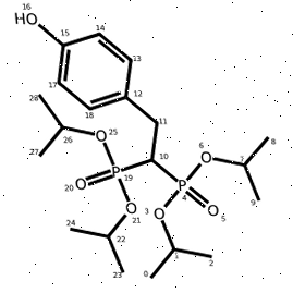 CC(C)OP(=O)(OC(C)C)C(Cc1ccc(O)cc1)P(=O)(OC(C)C)OC(C)C